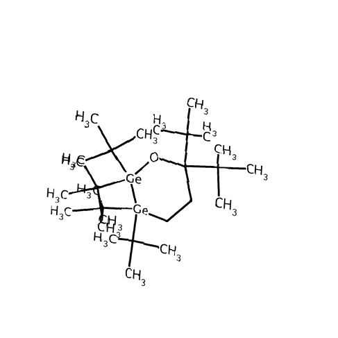 CC(C)(C)C1(C(C)(C)C)C[CH2][Ge]([C](C)(C)C)([C](C)(C)C)[Ge]([C](C)(C)C)([C](C)(C)C)[O]1